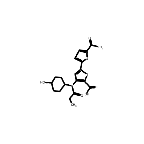 CCC(=O)N(c1cc(-c2ccc(C(C)=O)s2)sc1C(=O)O)C1CCC(O)CC1